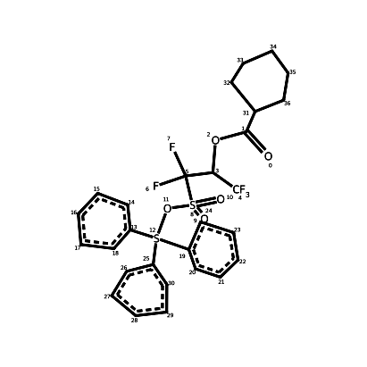 O=C(OC(C(F)(F)F)C(F)(F)S(=O)(=O)OS(c1ccccc1)(c1ccccc1)c1ccccc1)C1CCCCC1